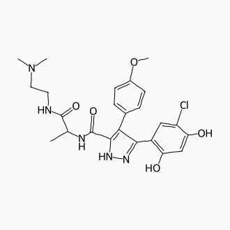 COc1ccc(-c2c(-c3cc(Cl)c(O)cc3O)n[nH]c2C(=O)NC(C)C(=O)NCCN(C)C)cc1